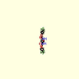 O=C(COc1ccc(C(F)(F)F)cc1)NC12CCC(NC(=O)COc3ccc(C(F)(F)F)cc3)(CC1)C2